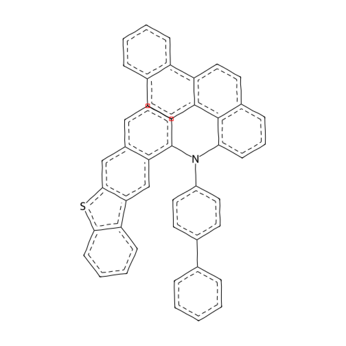 c1ccc(-c2ccc(N(c3cccc4cc5sc6ccccc6c5cc34)c3cccc4ccc5c6ccccc6ccc5c34)cc2)cc1